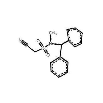 CN(C(c1ccccc1)c1ccccc1)S(=O)(=O)CC#N